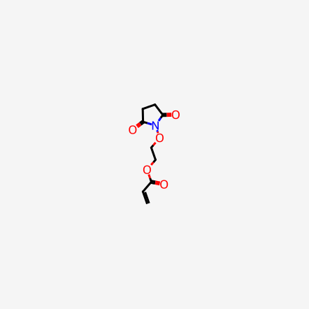 C=CC(=O)OCCON1C(=O)CCC1=O